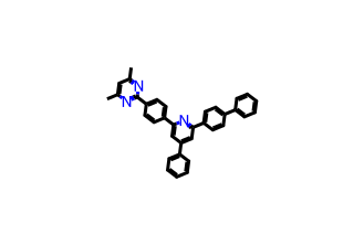 Cc1cc(C)nc(-c2ccc(-c3cc(-c4ccccc4)cc(-c4ccc(-c5ccccc5)cc4)n3)cc2)n1